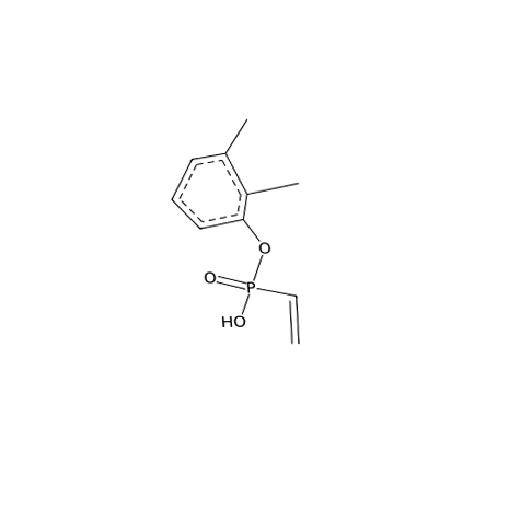 C=CP(=O)(O)Oc1cccc(C)c1C